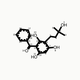 CC(C)(O)CCc1c(O)cc(O)c(C(=O)c2ccccc2)c1O